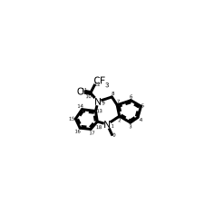 CN1c2ccccc2CN(C(=O)C(F)(F)F)c2ccccc21